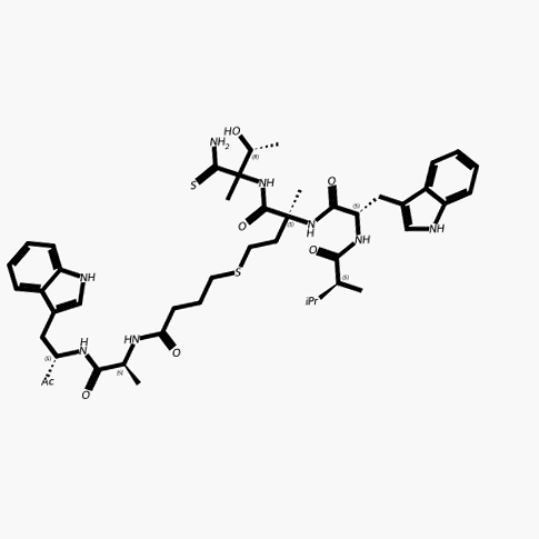 CC(=O)[C@H](Cc1c[nH]c2ccccc12)NC(=O)[C@H](C)NC(=O)CCCSCC[C@](C)(NC(=O)[C@H](Cc1c[nH]c2ccccc12)NC(=O)[C@@H](C)C(C)C)C(=O)NC(C)(C(N)=S)[C@@H](C)O